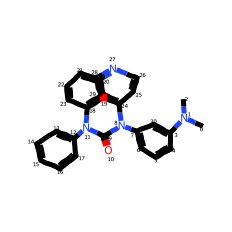 CN(C)c1cccc(N(C(=O)N(c2ccccc2)c2ccccc2)c2ccncc2)c1